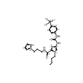 CCCCn1cc(NC(=O)Nc2ccc(C(F)(F)F)cc2)nc1C(=O)NCCCn1cccn1